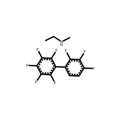 CCNC.Fc1ccc(-c2c(F)c(F)c(F)c(F)c2F)c(F)c1F